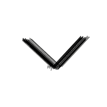 O.[Mg+2].[Mg+2].[Mg+2].[Mg+2].[Mg+2].[Mg+2].[Mg+2].[Mg+2].[Mg+2].[Mg+2].[Mg+2].[Mg+2].[Mg+2].[Mg+2].[Mg+2].[Mg+2].[Mg+2].[Mg+2].[Mg+2].[Mg+2].[Mg+2].[Mg+2].[Mg+2].[Mg+2].[Mg+2].[Mg+2].[Mg+2].[Mg+2].[Mg+2].[Mg+2].[Mg+2].[Mg+2].[Mg+2].[Mg+2].[Mg+2].[Mg+2].[Mg+2].[Mg+2].[Mg+2].[Mg+2].[Mg+2].[Mg+2].[Mg+2].[Mg+2].[Mg+2].[Mg+2].[Mg+2].[Mg+2].[Mg+2].[Mg+2].[Mg+2].[Mg+2].[Mg+2].[Mg+2].[Mg+2].[Mg+2].[Mg+2].[Mg+2].[Mg+2].[Mg+2].[Mg+2].[Mg+2].[Mg+2].[Mg+2].[Mg+2].[Mg+2].[Mg+2].[Mg+2].[Mg+2].[Mg+2].[Mg+2].[Mg+2].[Mg+2].[Mg+2].[Mg+2].[Mg+2].[Mg+2].[Mg+2].[Mg+2].[Mg+2].[Mg+2].[Mg+2].[Mg+2].[Mg+2].[Mg+2].[Mg+2].[Mg+2].[Mg+2]